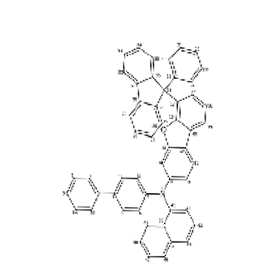 c1ccc(-c2ccc(N(c3ccc4c(c3)oc3c(C5(c6ccccc6)c6ccccc6-c6ccccc65)cccc34)c3cccc4ccccc34)cc2)cc1